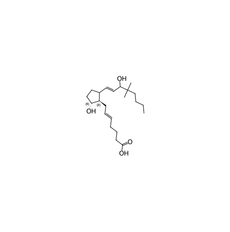 CCCCC(C)(C)C(O)C=CC1CC[C@@H](O)[C@@H]1CC=CCCCC(=O)O